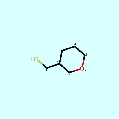 SCC1CCCOC1